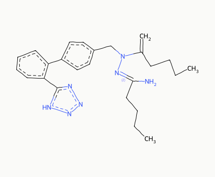 C=C(CCCC)N(Cc1ccc(-c2ccccc2-c2nnn[nH]2)cc1)/N=C(\N)CCCC